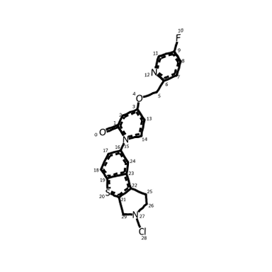 O=c1cc(OCc2ccc(F)cn2)ccn1-c1ccc2sc3c(c2c1)CCN(Cl)C3